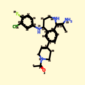 CC(=O)N1CC=C(c2ccc3c(c2)C(Nc2ccc(F)c(Cl)c2)CCN/C3=C(/C)N)CC1